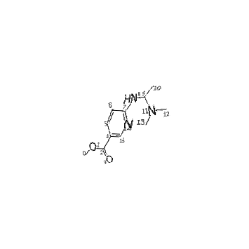 COC(=O)c1ccc(NC(C)N(C)C)nc1